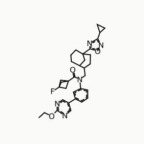 CCOc1ncc(-c2cccc(N(CC3CCC4(c5nc(C6CC6)no5)CCCC3C4)C(=O)C34CC(F)(C3)C4)c2)cn1